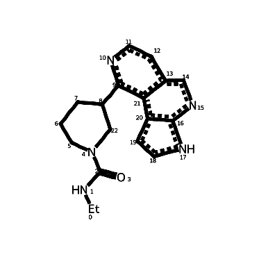 CCNC(=O)N1CCCC(c2nccc3cnc4[nH]ccc4c23)C1